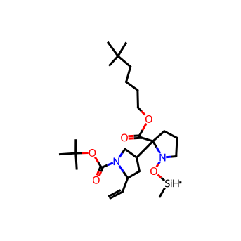 C=CC1CC(C2(C(=O)OCCCCC(C)(C)C)CCCN2O[SiH](C)C)CN1C(=O)OC(C)(C)C